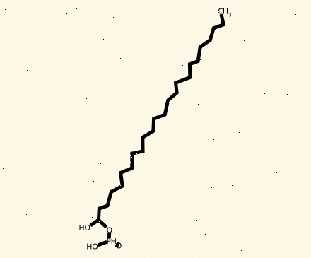 CCCCCCCCCCCCCCCCCCCCCCCC(O)O[PH](=O)O